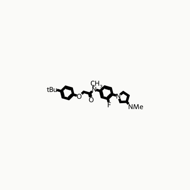 CNC1CCN(c2ccc(N(C)C(=O)COc3ccc(C(C)(C)C)cc3)cc2F)C1